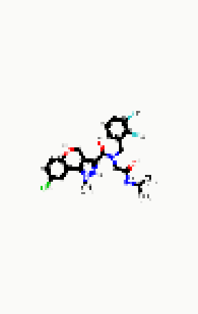 CC(C)NC(=O)CN(Cc1cccc(F)c1F)C(=O)c1nn(C)c2c1COc1ccc(Cl)cc1-2